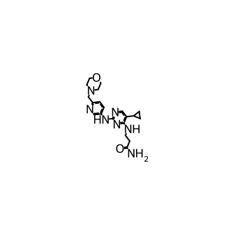 NC(=O)CCNc1nc(Nc2ccc(CN3CCOCC3)nc2)ncc1C1CC1